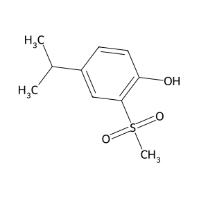 CC(C)c1ccc(O)c(S(C)(=O)=O)c1